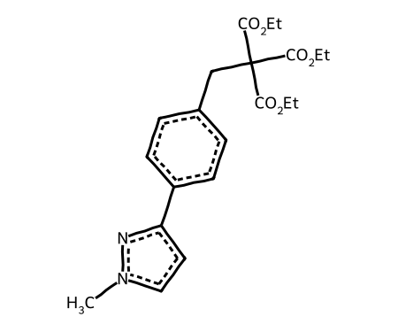 CCOC(=O)C(Cc1ccc(-c2ccn(C)n2)cc1)(C(=O)OCC)C(=O)OCC